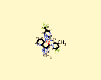 C[C@@H]1CC(F)(F)CN(C(=O)c2nn(C)nc2-c2ccccn2)[C@@H]1CNc1ncc(C(F)(F)F)cn1